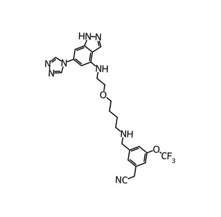 N#CCc1cc(CNCCCCOCCNc2cc(-n3cnnc3)cc3[nH]ncc23)cc(OC(F)(F)F)c1